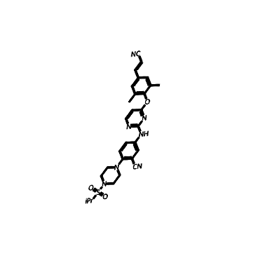 Cc1cc(C=CC#N)cc(C)c1Oc1ccnc(Nc2ccc(N3CCN(S(=O)(=O)C(C)C)CC3)c(C#N)c2)n1